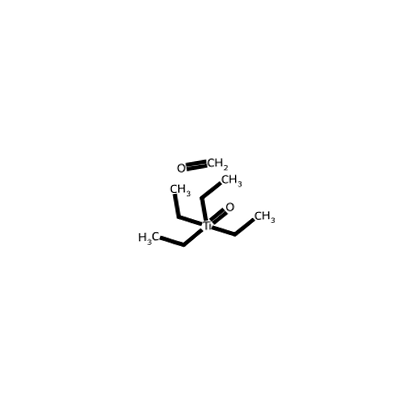 C=O.C[CH2][Ti](=[O])([CH2]C)([CH2]C)[CH2]C